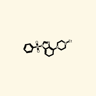 CCN1CCN(C2=c3ncn(S(=O)(=O)c4ccccc4)c3=CCC2)CC1